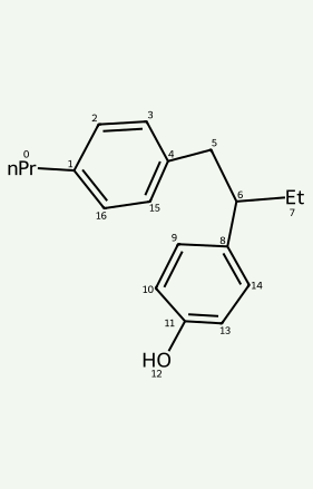 CCCc1ccc(CC(CC)c2ccc(O)cc2)cc1